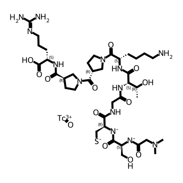 C[C@@H](O)[C@H](NC(=O)CNC(=O)[C@H](C[S-])[N-]C(=O)[C@H](CO)[N-]C(=O)CN(C)C)C(=O)N[C@@H](CCCCN)C(=O)N1CC[C@@H](C(=O)N2CC[C@@H](C(=O)N[C@@H](CCCN=C(N)N)C(=O)O)C2)C1.[O]=[Tc+3]